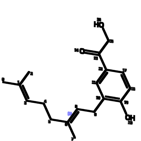 CC(C)=CCC/C(C)=C/Cc1cc(C(=O)CO)ccc1O